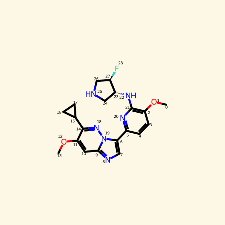 COc1ccc(-c2cnc3cc(OC)c(C4CC4)nn23)nc1N[C@@H]1CNC[C@H]1F